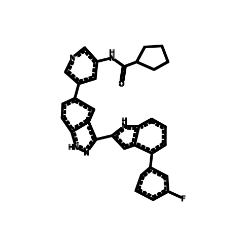 O=C(Nc1cncc(-c2ccc3[nH]nc(-c4cc5c(-c6cccc(F)c6)cccc5[nH]4)c3c2)c1)C1CCCC1